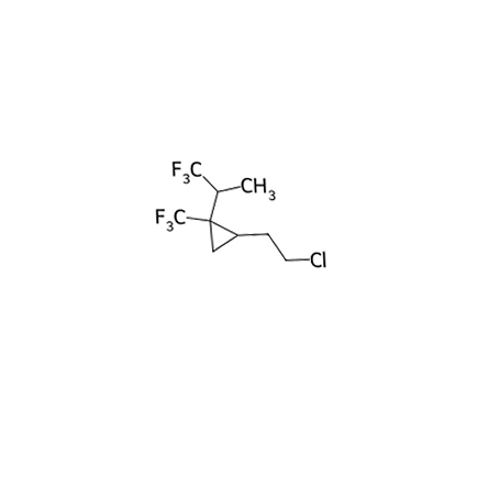 CC(C(F)(F)F)C1(C(F)(F)F)CC1CCCl